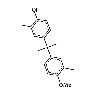 COc1ccc(C(C)(C)c2ccc(O)c(C)c2)cc1C